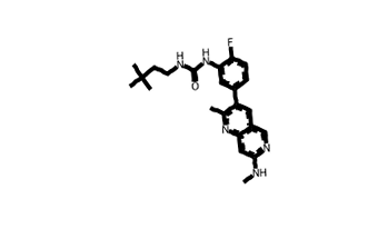 CNc1cc2nc(C)c(-c3ccc(F)c(NC(=O)NCCC(C)(C)C)c3)cc2cn1